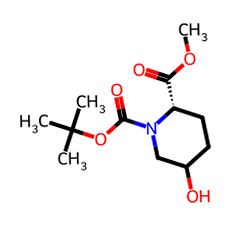 COC(=O)[C@@H]1CCC(O)CN1C(=O)OC(C)(C)C